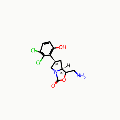 NCC1OC(=O)N2C[C@@H](c3c(O)ccc(Cl)c3Cl)C[C@@H]12